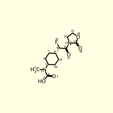 CN(C(=O)O)[C@H]1CC[C@H](C(F)C(=O)N2CCOC2=O)CC1